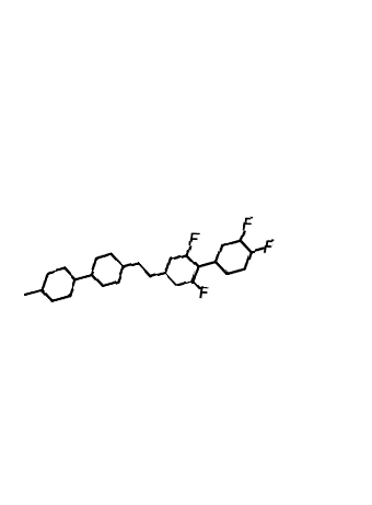 CC1CCC(C2CCC(CCC3CC(F)C(C4CCC(F)C(F)C4)C(F)C3)CC2)CC1